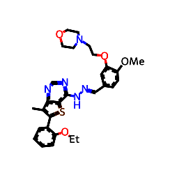 CCOc1ccccc1-c1sc2c(NN=Cc3ccc(OC)c(OCCN4CCOCC4)c3)ncnc2c1C